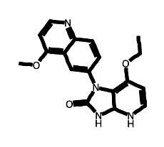 CCOC1=C2C(NC=C1)NC(=O)N2c1ccc2nccc(OC)c2c1